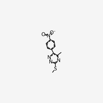 CSc1nnc(-c2ccc([N+](=O)[O-])cc2)c(C)n1